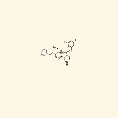 CC(C)CC(NC(=O)[C@@H]1CNCCN1S(=O)(=O)Cc1c(F)cc(F)cc1F)C(=O)NCc1cccnc1